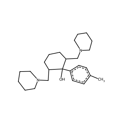 Cc1ccc(C2(O)C(CN3CCCCC3)CCCC2CN2CCCCC2)cc1